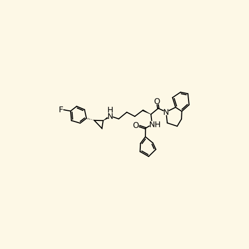 O=C(N[C@@H](CCCCN[C@H]1C[C@@H]1c1ccc(F)cc1)C(=O)N1CCCc2ccccc21)c1ccccc1